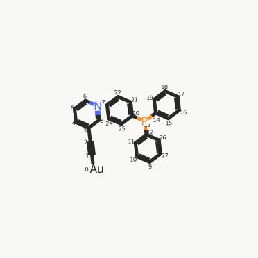 [Au][C]#Cc1cccnc1.c1ccc(P(c2ccccc2)c2ccccc2)cc1